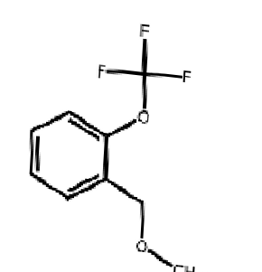 [CH2]OCc1ccccc1OC(F)(F)F